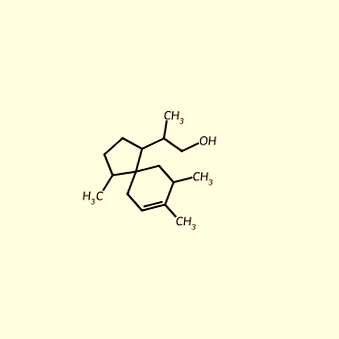 CC1=CCC2(CC1C)C(C)CCC2C(C)CO